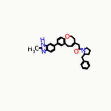 Cc1nc2ccc(-c3ccc4c(c3)C/C=C(/CC(=O)N3CCCC3Cc3ccccc3)CCO4)cc2[nH]1